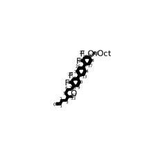 C=CCCC1CCC(c2ccc(-c3ccc(-c4ccc(OCCCCCCCC)c(F)c4F)cc3)c(F)c2F)OC1